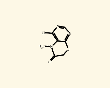 CN1C(=O)CSc2ncnc(Cl)c21